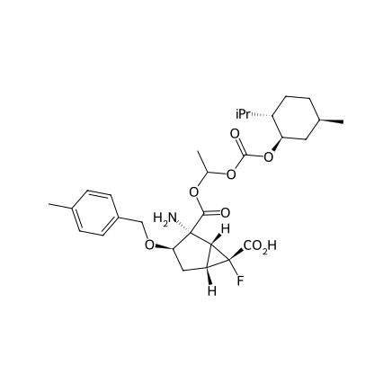 Cc1ccc(CO[C@@H]2C[C@@H]3[C@H]([C@]2(N)C(=O)OC(C)OC(=O)O[C@@H]2C[C@H](C)CC[C@H]2C(C)C)[C@@]3(F)C(=O)O)cc1